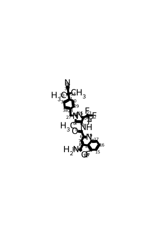 Cc1c(NC(=O)c2cc(C(N)=O)c3c(F)cccc3n2)c(C(F)(F)F)nn1Cc1ccc(C(C)(C)C#N)cc1